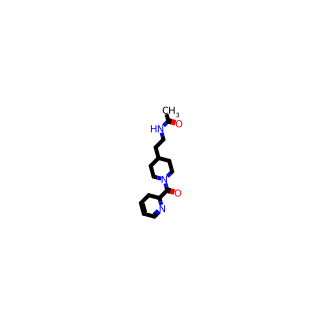 CC(=O)NCCC1CCN(C(=O)C2CC=CC=N2)CC1